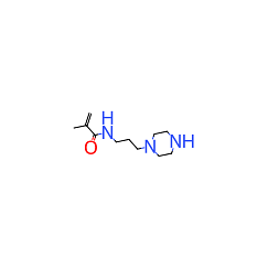 C=C(C)C(=O)NCCCN1CCNCC1